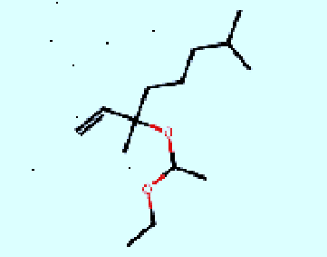 C=CC(C)(CCCC(C)C)OC(C)OCC